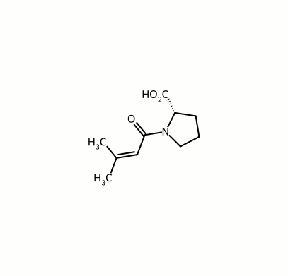 CC(C)=CC(=O)N1CCC[C@H]1C(=O)O